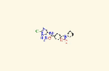 Nc1nc(Cl)ncc1NC(=O)C1CCC2(CC1)CN(c1ccccc1)C(=O)O2